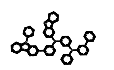 c1ccc(-c2cccc(N(c3ccccc3)c3cccc(N(c4cccc(-c5ccc6c7ccccc7n(-c7ccccc7)c6c5)c4)c4ccc5sc6ccccc6c5c4)c3)c2)cc1